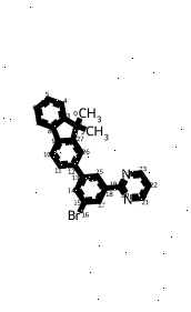 CC1(C)c2ccccc2-c2ccc(-c3cc(Br)cc(-c4ncccn4)c3)cc21